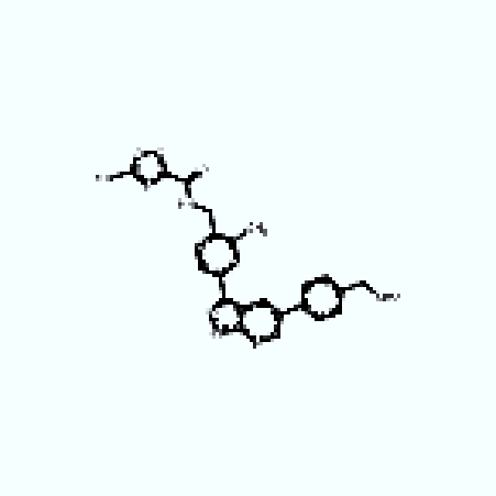 Cc1cc(-c2n[nH]c3ncc(-c4ccc(CC=O)cc4)cc23)ccc1CNC(=O)c1nc(C(C)(C)C)no1